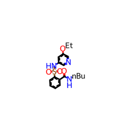 CCCCNC(=O)c1ccccc1S(=O)(=O)Nc1cncc(OCC)c1